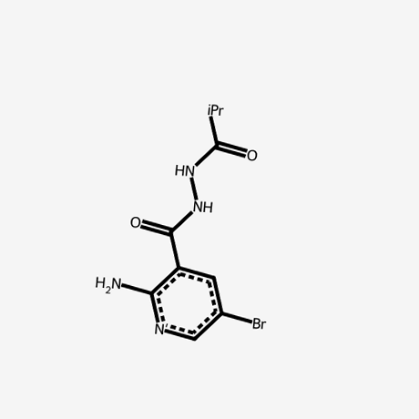 CC(C)C(=O)NNC(=O)c1cc(Br)cnc1N